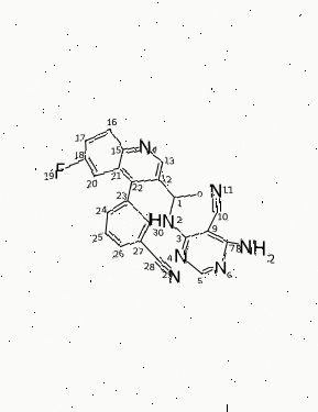 CC(Nc1ncnc(N)c1C#N)c1cnc2ccc(F)cc2c1-c1cccc(C#N)c1